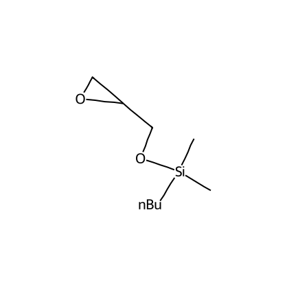 CCCC[Si](C)(C)OCC1CO1